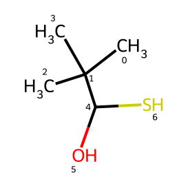 CC(C)(C)C(O)S